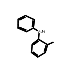 Cc1ccccc1[AsH]c1ccccc1